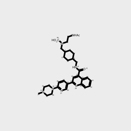 CC(=O)NCCN(CC1CCC(CNC(=O)c2cc(-c3ccc(N4CCN(C)CC4)nc3)nc3ccccc23)CC1)C(=O)O